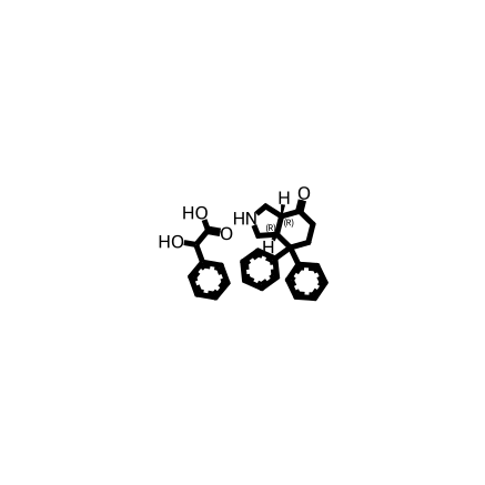 O=C(O)C(O)c1ccccc1.O=C1CCC(c2ccccc2)(c2ccccc2)[C@@H]2CNC[C@H]12